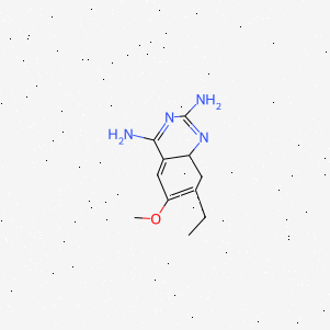 CCC1=C(OC)C=C2C(N)=NC(N)=NC2C1